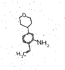 C=Cc1ccc(C2CCOCC2)cc1N